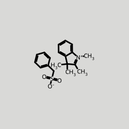 CC1=[N+](C)c2ccccc2C1(C)C.O=S(=O)([O-])Cc1ccccc1